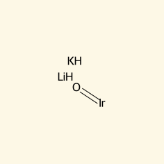 [KH].[LiH].[O]=[Ir]